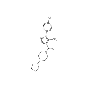 O=C(c1cnn(-c2ccc(Cl)cc2)c1C(F)(F)F)N1CCC(N2CCCC2)CC1